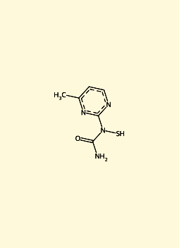 Cc1ccnc(N(S)C(N)=O)n1